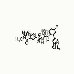 CC(C)c1cc(F)cc(-c2cnn(C)c2)c1NC(O)NS(=O)(=O)c1cc(C(=O)N(C)C)n(C)n1